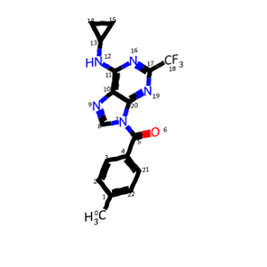 Cc1ccc(C(=O)n2cnc3c(NC4CC4)nc(C(F)(F)F)nc32)cc1